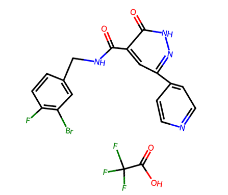 O=C(NCc1ccc(F)c(Br)c1)c1cc(-c2ccncc2)n[nH]c1=O.O=C(O)C(F)(F)F